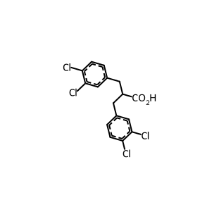 O=C(O)C(Cc1ccc(Cl)c(Cl)c1)Cc1ccc(Cl)c(Cl)c1